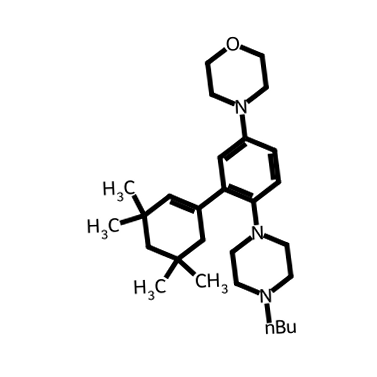 CCCCN1CCN(c2ccc(N3CCOCC3)cc2C2=CC(C)(C)CC(C)(C)C2)CC1